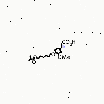 C=C(C)C(=O)OCCCCCCOc1ccc(/C=C/C(=O)O)cc1OC